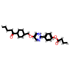 CCCCC(=O)C1CCC(COc2cnc(-c3ccc(OC(=O)CCC)cc3)nc2)CC1